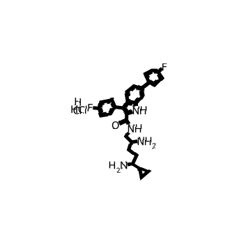 Cl.Cl.NC(CCC(N)C1CC1)CNC(=O)c1[nH]c2cc(-c3ccc(F)cc3)ccc2c1-c1ccc(F)cc1